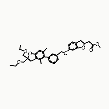 CCOCC1(COCC)Cc2c(cc(C)c(-c3cccc(COc4ccc5c(c4)OC(CC(=O)OC)C5)c3)c2C)O1